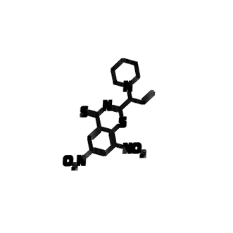 C=CC(c1nc(=S)c2cc([N+](=O)[O-])cc([N+](=O)[O-])c2s1)N1CCCCC1